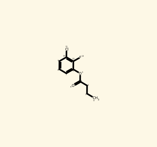 CCCC(=O)Oc1cccc(Cl)c1F